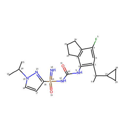 CC(c1cc(F)c2c(c1NC(=O)NS(=N)(=O)c1ccn(C(C)C)n1)CCC2)C1CC1